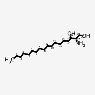 CCCCCCCCCCCCCCCC(O)[C@@H](N)CO